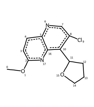 COc1ccc2ncc(Cl)c(C3CCCO3)c2n1